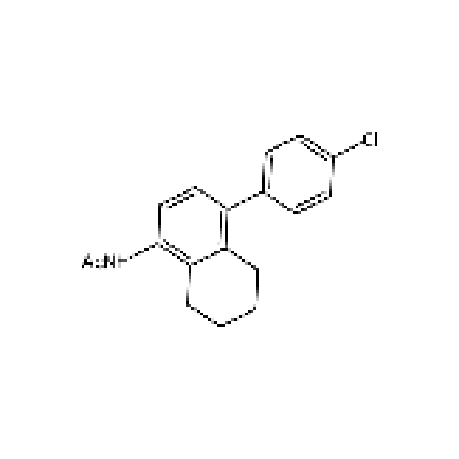 CC(=O)Nc1ccc(-c2ccc(Cl)cc2)c2c1CCCC2